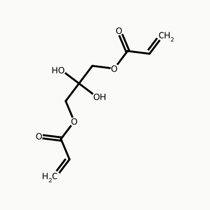 C=CC(=O)OCC(O)(O)COC(=O)C=C